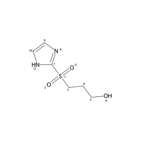 O=S(=O)(CCCO)c1ncc[nH]1